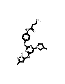 Cc1cc(Nc2cc(N3CCC(F)C3)nc(Sc3ccc(NC(=O)CCC(F)(F)F)cc3)n2)[nH]n1